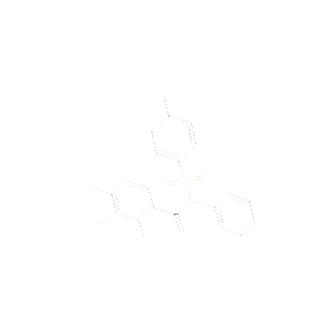 Cc1ccc(S(=O)(=O)N(C(=O)c2ccc(Cl)c(Cl)c2Cl)c2ccccc2)cc1